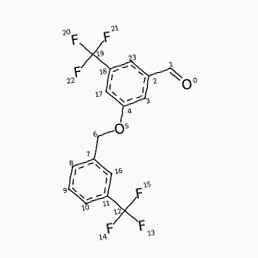 O=Cc1cc(OCc2cccc(C(F)(F)F)c2)cc(C(F)(F)F)c1